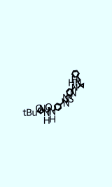 CC(C)(C)c1cc(NC(=O)Nc2ccc(-c3cn4c(n3)sc3nc(NCC5(NCc6ccccc6)CC5)ccc34)cc2)no1